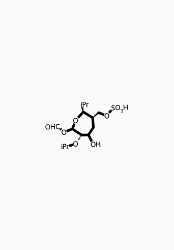 CC(C)O[C@H]1C(O)C[C@H](COS(=O)(=O)O)[C@H](C(C)C)OC1OC=O